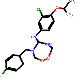 CC(C)Oc1ccc(NC2NCOOCN2CC2C=CC(Cl)=CC2)cc1Cl